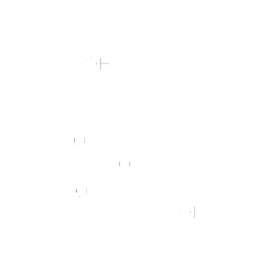 [O]C(OCCO)OCCO